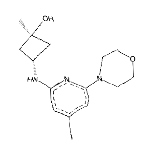 C[C@]1(O)C[C@H](Nc2cc(I)cc(N3CCOCC3)n2)C1